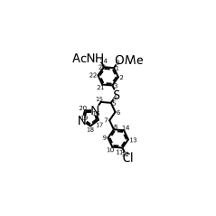 COc1cc(SC(CCc2ccc(Cl)cc2)Cn2ccnc2)ccc1NC(C)=O